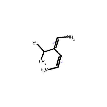 CCC(C)C(/C=C\N)=C/N